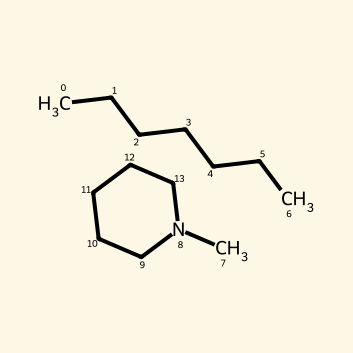 CCCCCCC.CN1CCCCC1